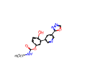 CCCCCCCCNC(=O)Oc1ccc(O)c(-c2cncc(-c3nnco3)c2)c1